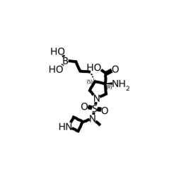 CN(C1CNC1)S(=O)(=O)N1C[C@H](CCCB(O)O)[C@](N)(C(=O)O)C1